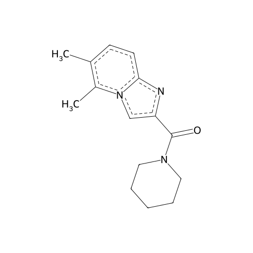 Cc1ccc2nc(C(=O)N3CCCCC3)cn2c1C